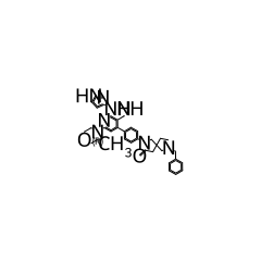 C[C@@H]1COCCN1c1cc(-c2ccc(N3CC4(CCN(Cc5ccccc5)C4)CC3=O)cc2)c(C=N)c(Nc2cc[nH]n2)n1